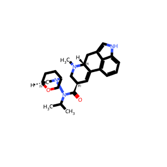 CC(C)N(C(=O)[C@@H]1C=C2c3cccc4[nH]cc(c34)C[C@H]2N(C)C1)N1C[C@@H]2CCC1CO2